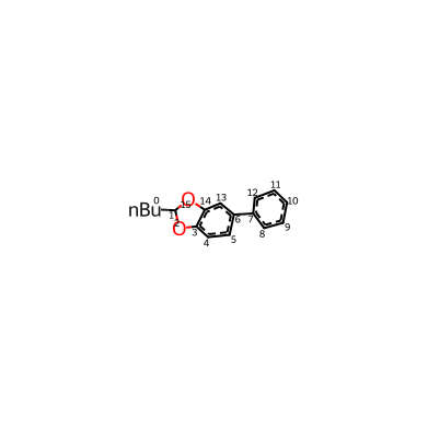 CCCCC1Oc2ccc(-c3ccccc3)cc2O1